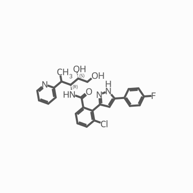 CC(c1ccccn1)[C@@H](NC(=O)c1cccc(Cl)c1-c1cc(-c2ccc(F)cc2)[nH]n1)[C@H](O)CO